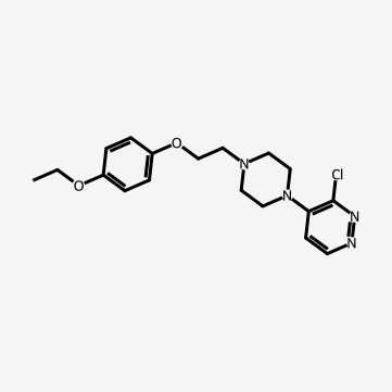 CCOc1ccc(OCCN2CCN(c3ccnnc3Cl)CC2)cc1